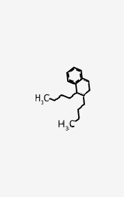 CCCCC1CCc2ccccc2C1CCCC